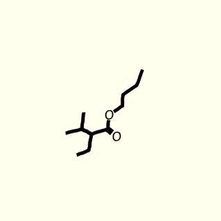 CCCCOC(=O)C(CC)C(C)C